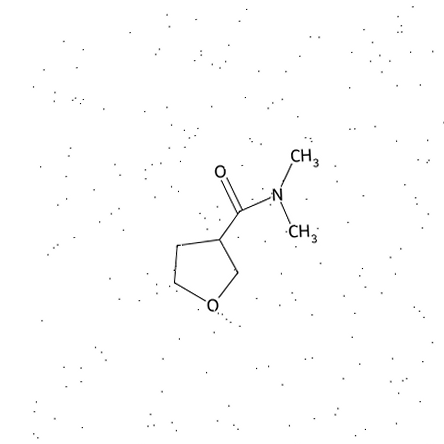 CN(C)C(=O)C1CCOC1